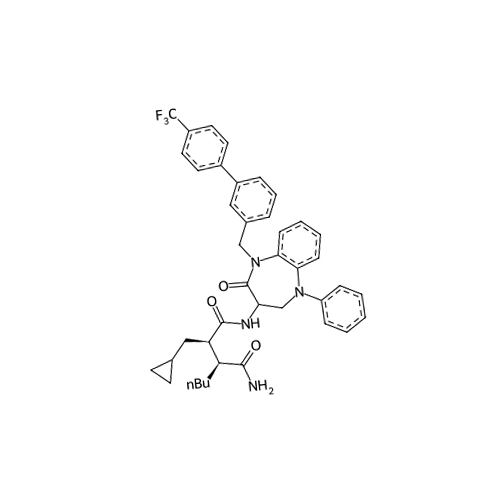 CCCC[C@H](C(N)=O)[C@@H](CC1CC1)C(=O)NC1CN(c2ccccc2)c2ccccc2N(Cc2cccc(-c3ccc(C(F)(F)F)cc3)c2)C1=O